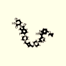 CC1(Oc2ccc3n[nH]c(-c4cc(N5CCN(CC6CC(CN7CCN(c8ccc9c(c8F)CN(C8CCC(=O)NC8=O)C9=O)CC7)C6)CC5)ncn4)c3c2)CC1